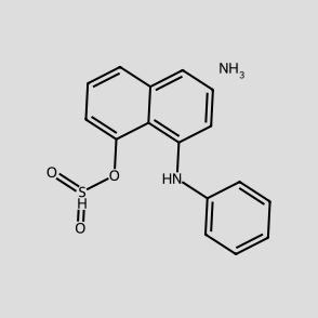 N.O=[SH](=O)Oc1cccc2cccc(Nc3ccccc3)c12